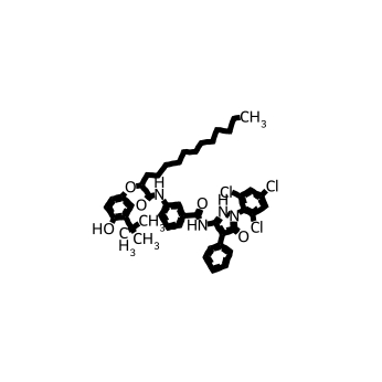 CCCCCCCCCCCCC(Oc1ccc(O)c(C(C)(C)C)c1)C(=O)Nc1cccc(C(=O)Nc2[nH]n(-c3c(Cl)cc(Cl)cc3Cl)c(=O)c2-c2ccccc2)c1